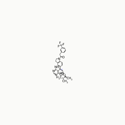 Cc1ncnc(N)c1/C(=C\NC[C@@H](C)C(C)C)c1ccc2c(c1)CCN2C(=O)Cc1cccc(C(F)(F)F)c1